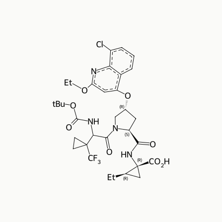 CCOc1cc(O[C@@H]2C[C@@H](C(=O)N[C@]3(C(=O)O)C[C@H]3CC)N(C(=O)C(NC(=O)OC(C)(C)C)C3(C(F)(F)F)CC3)C2)c2cccc(Cl)c2n1